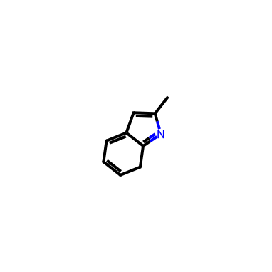 CC1=CC2=CC=CCC2=N1